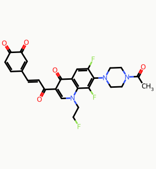 CC(=O)N1CCN(c2c(F)cc3c(=O)c(C(=O)/C=C/C4=CC(=O)C(=O)C=C4)cn(CCF)c3c2F)CC1